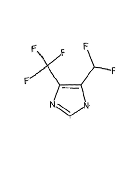 FC(F)C1=C(C(F)(F)F)N=[C][N]1